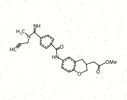 C#CCN(C)C(=N)c1ccc(C(=O)Nc2ccc3c(c2)CC(CC(=O)OC)CO3)cc1